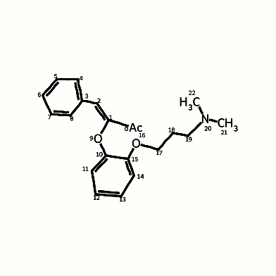 CC(=O)C(=Cc1ccccc1)Oc1ccccc1OCCCN(C)C